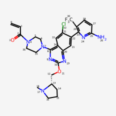 C=CC(=O)N1CCN(c2nc(OC[C@@H]3CCCN3C)nc3cc(-c4nc(N)ccc4C(F)(F)F)c(Cl)cc23)CC1